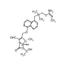 C/N=C(/N)SC[N+](C)(C)Cc1cccc2c(OCC3=C(C=O)N4C(=O)[C@H]([C@@H](C)O)[C@H]4[C@H]3C)cccc12